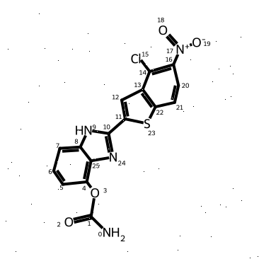 NC(=O)Oc1cccc2[nH]c(-c3cc4c(Cl)c([N+](=O)[O-])ccc4s3)nc12